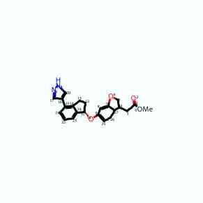 COC(=O)CC1COC2=CC(O[C@@H]3CCc4c(-c5cn[nH]c5)cccc43)=CCC21